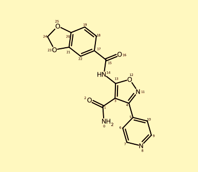 NC(=O)c1c(-c2ccncc2)noc1NC(=O)c1ccc2c(c1)OCO2